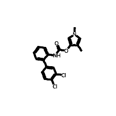 Cc1cn(C)cc1OC(=O)Nc1ccccc1-c1ccc(Cl)c(Cl)c1